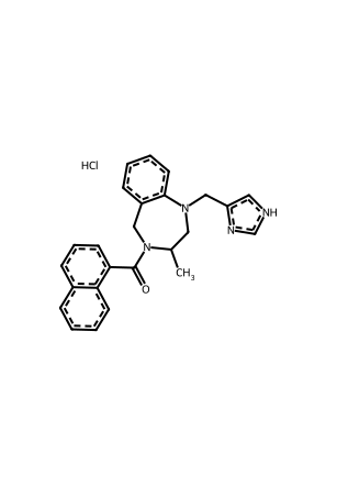 CC1CN(Cc2c[nH]cn2)c2ccccc2CN1C(=O)c1cccc2ccccc12.Cl